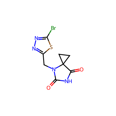 O=C1NC(=O)C2(CC2)N1Cc1nnc(Br)s1